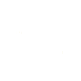 CC(O)c1ccc(C2CNC(=O)O2)cc1